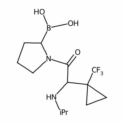 CC(C)NC(C(=O)N1CCCC1B(O)O)C1(C(F)(F)F)CC1